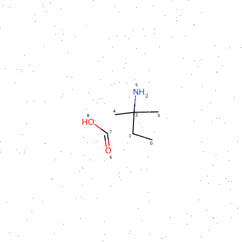 CCC(C)(C)N.O=CO